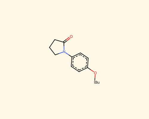 CC(C)(C)Oc1ccc(N2CCCC2=O)cc1